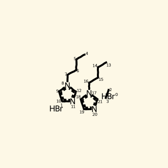 Br.Br.CC.CCCCn1ccnc1.CCCCn1ccnc1